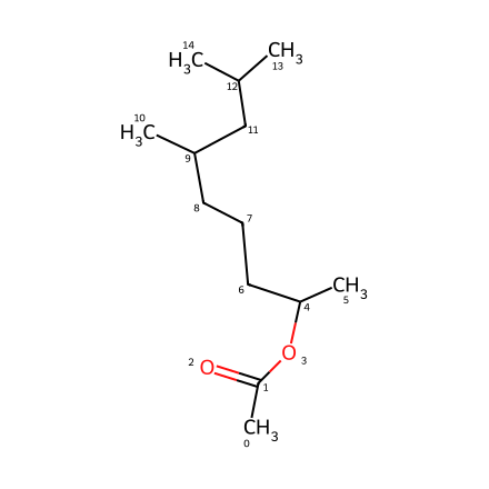 CC(=O)OC(C)CCCC(C)CC(C)C